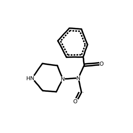 O=[C]N(C(=O)c1ccccc1)N1CCNCC1